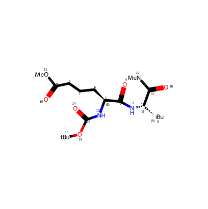 CC[C@@H](C)[C@H](NC(=O)[C@H](CCCC(=O)OC)NC(=O)OC(C)(C)C)C(=O)NC